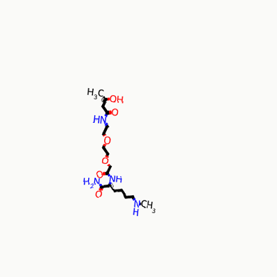 CNCCCC[C@H](NC(=O)COCCOCCNC(=O)C[C@@H](C)O)C(N)=O